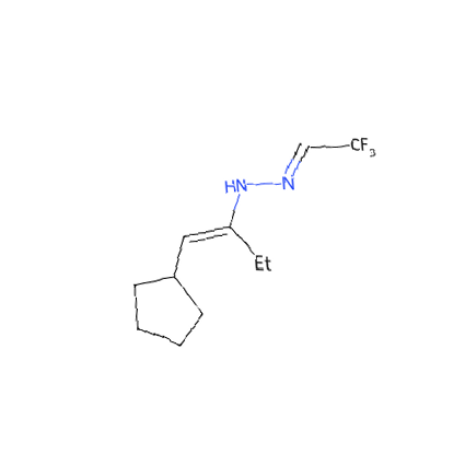 CC/C(=C\C1CCCC1)N/N=C/C(F)(F)F